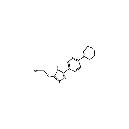 CC(=O)CSc1nnc(-c2ccc(N3CCOCC3)nc2)[nH]1